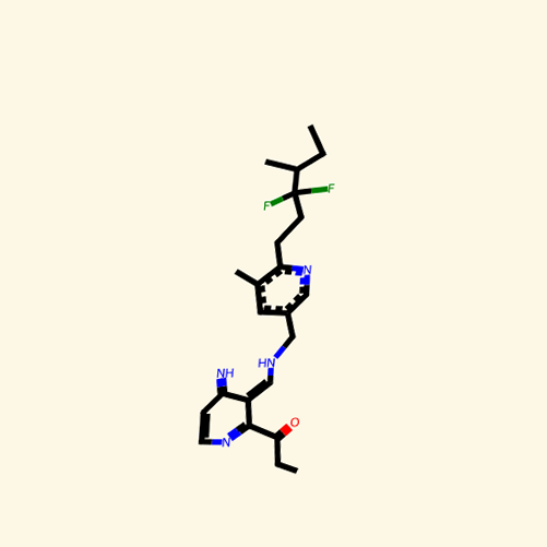 CCC(=O)C1=NC=CC(=N)/C1=C\NCc1cnc(CCC(F)(F)C(C)CC)c(C)c1